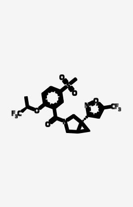 C[C@@H](Oc1ccc(S(C)(=O)=O)cc1C(=O)N1CC2C[C@]2(c2cc(C(F)(F)F)on2)C1)C(F)(F)F